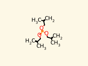 C=C(C)COP(OCC(=C)C)OCC(=C)C